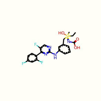 CCS(C)(O)(Cc1cccc(Nc2ncc(F)c(-c3ccc(F)cc3F)n2)c1)=NC(=O)O